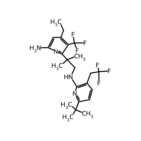 CCc1cc(N)nc(C(C)(C)CNc2nc(C(C)(C)C)ccc2CC(F)(F)F)c1C(F)(F)F